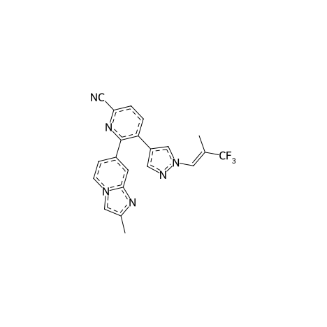 C/C(=C\n1cc(-c2ccc(C#N)nc2-c2ccn3cc(C)nc3c2)cn1)C(F)(F)F